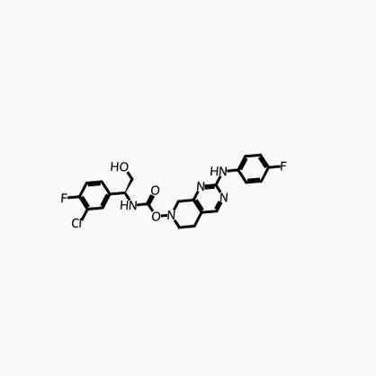 O=C(N[C@H](CO)c1ccc(F)c(Cl)c1)ON1CCc2cnc(Nc3ccc(F)cc3)nc2C1